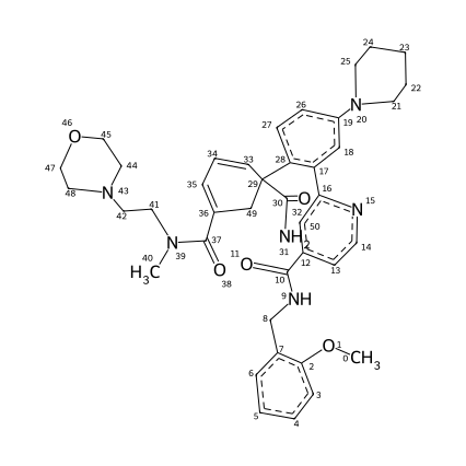 COc1ccccc1CNC(=O)c1ccnc(-c2cc(N3CCCCC3)ccc2C2(C(N)=O)C=CC=C(C(=O)N(C)CCN3CCOCC3)C2)c1